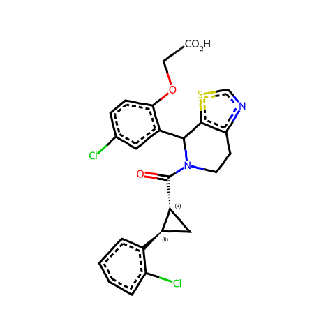 O=C(O)COc1ccc(Cl)cc1C1c2scnc2CCN1C(=O)[C@@H]1C[C@H]1c1ccccc1Cl